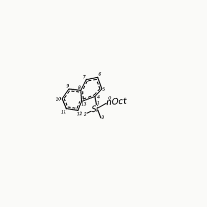 CCCCCCCC[Si](C)(C)c1cccc2ccccc12